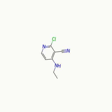 CCNc1ccnc(Cl)c1C#N